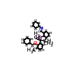 CCC(CC)(Pc1c(C)cccc1/C=N/c1ccccc1)c1cccc(C)c1OCc1ccccc1